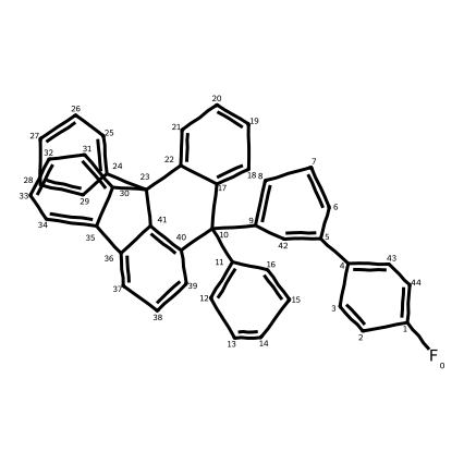 Fc1ccc(-c2cccc(C3(c4ccccc4)c4ccccc4C4(c5ccccc5)c5ccccc5-c5cccc3c54)c2)cc1